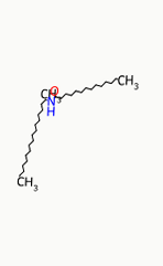 CCCCCCCCCCCCCCCCC(C)NC(=O)CCCCCCCCCCCCC